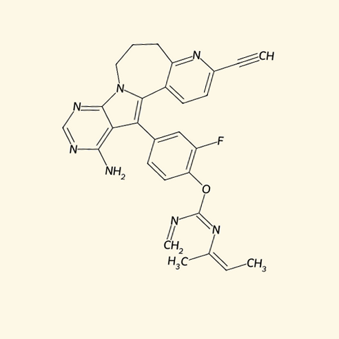 C#Cc1ccc2c(n1)CCCn1c-2c(-c2ccc(O/C(N=C)=N/C(C)=C\C)c(F)c2)c2c(N)ncnc21